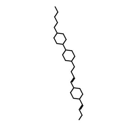 CCC=CC1CCC(C=CCCC2CCC(C3CCC(CCCCC)CC3)CC2)CC1